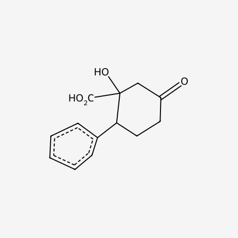 O=C1CCC(c2ccccc2)C(O)(C(=O)O)C1